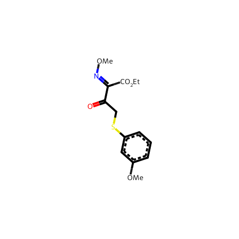 CCOC(=O)/C(=N\OC)C(=O)CSc1cccc(OC)c1